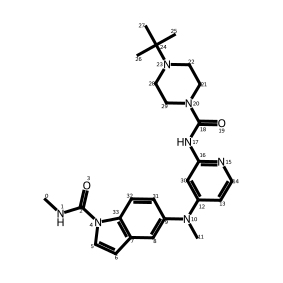 CNC(=O)n1ccc2cc(N(C)c3ccnc(NC(=O)N4CCN(C(C)(C)C)CC4)c3)ccc21